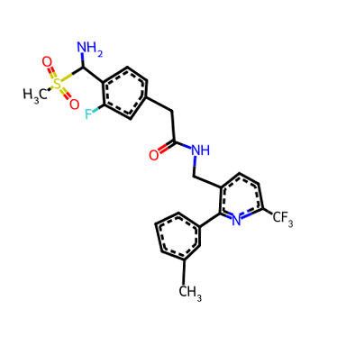 Cc1cccc(-c2nc(C(F)(F)F)ccc2CNC(=O)Cc2ccc(C(N)S(C)(=O)=O)c(F)c2)c1